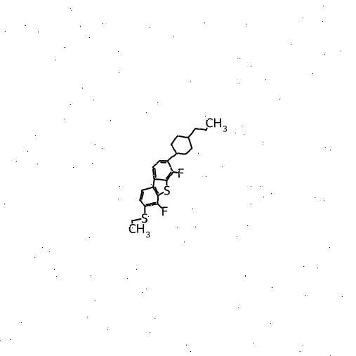 CCCC1CCC(c2ccc3c(sc4c(F)c(SCC)ccc43)c2F)CC1